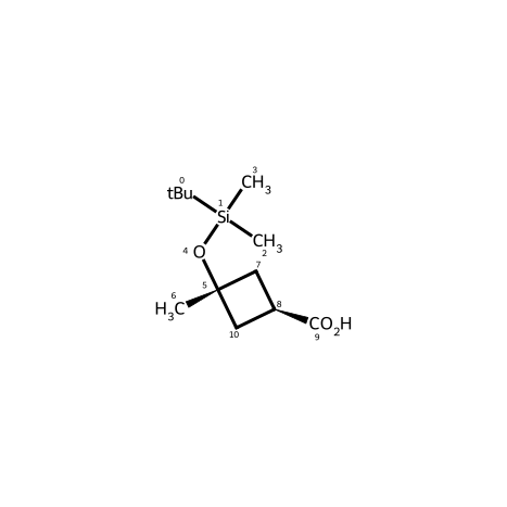 CC(C)(C)[Si](C)(C)O[C@]1(C)C[C@@H](C(=O)O)C1